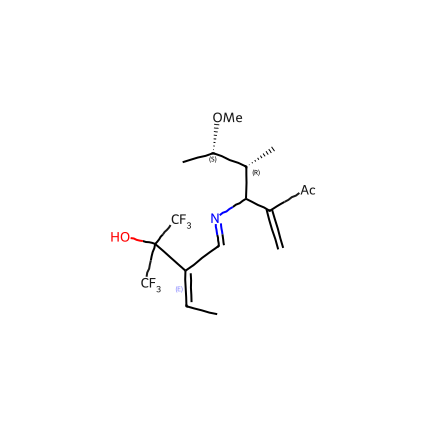 C=C(C(C)=O)C(N=C/C(=C\C)C(O)(C(F)(F)F)C(F)(F)F)[C@@H](C)[C@H](C)OC